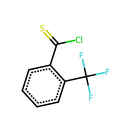 FC(F)(F)c1ccccc1C(=S)Cl